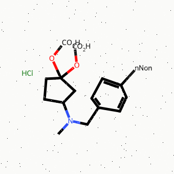 CCCCCCCCCc1ccc(CN(C)C2CCC(OC(=O)O)(OC(=O)O)C2)cc1.Cl